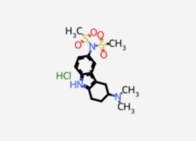 CN(C)C1CCc2[nH]c3ccc(N(S(C)(=O)=O)S(C)(=O)=O)cc3c2C1.Cl